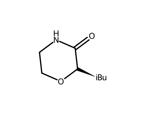 CC[C@H](C)C1OCCNC1=O